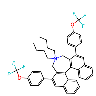 CCCC[N+]1(CCCC)Cc2c(-c3ccc(OC(F)(F)F)cc3)cc3ccccc3c2-c2c(c(-c3ccc(OC(F)(F)F)cc3)cc3ccccc23)C1